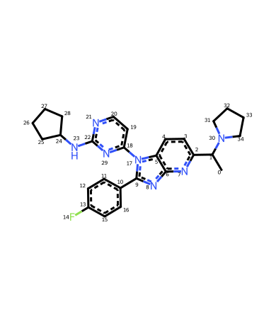 CC(c1ccc2c(n1)nc(-c1ccc(F)cc1)n2-c1ccnc(NC2CCCC2)n1)N1CCCC1